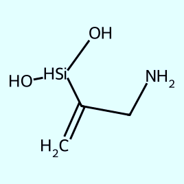 C=C(CN)[SiH](O)O